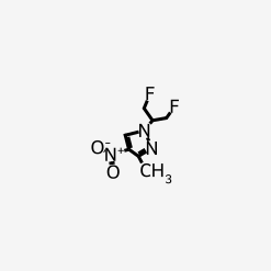 Cc1nn(C(CF)CF)cc1[N+](=O)[O-]